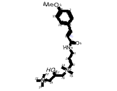 COc1ccc(/C=C/C(=O)NCCC[N+](C)(C)CC(O)C[N+](C)(C)C)cc1